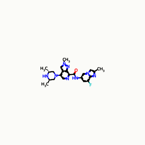 Cc1cn2cc(NC(=O)c3ncc(N4C[C@@H](C)N[C@H](C)C4)c4cn(C)nc34)cc(F)c2n1